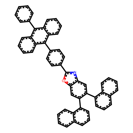 c1ccc(-c2c3ccccc3c(-c3ccc(-c4nc5cc(-c6cccc7ccccc67)c(-c6cccc7ccccc67)cc5o4)cc3)c3ccccc23)cc1